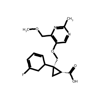 COCc1nc(C)ncc1OC[C@@]1(C2C=CC=C(F)C2)C[C@H]1C(=O)O